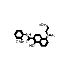 CCCCCCCCCCCCN(C(C)=O)c1cccc2c(O)c(C(=O)Nc3ccccc3OC)ccc12